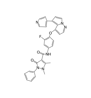 Cc1c(C(=O)Nc2ccc(Oc3ccnn4ccc(-c5ccncc5)c34)c(F)c2)c(=O)n(-c2ccccc2)n1C